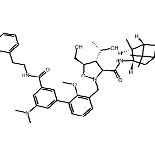 COc1c(CN2O[C@@H](CO)[C@H]([C@H](C)O)[C@H]2C(=O)N[C@H]2C[C@H]3C[C@@H]([C@@H]2C)C3(C)C)cccc1-c1cc(C(=O)NCCc2ccccn2)cc(N(C)C)c1